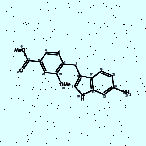 COC(=O)c1ccc(Cc2c[nH]c3cc(N)ccc23)c(OC)c1